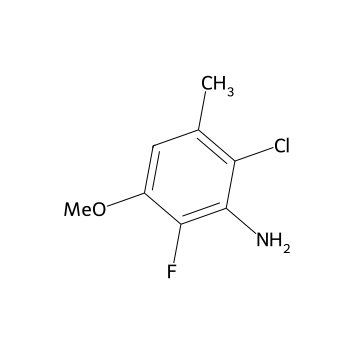 COc1cc(C)c(Cl)c(N)c1F